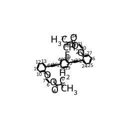 C=C(C)C(=O)O/C=C\Oc1ccccc1C#Cc1ccc(C#Cc2ccccc2O/C=C\OC(=O)C(=C)C)c(F)c1